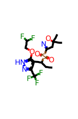 CCC(c1c(C(F)(F)F)n[nH]c1OCC(F)F)S(=O)(=O)C1=NOC(C)(C)C1